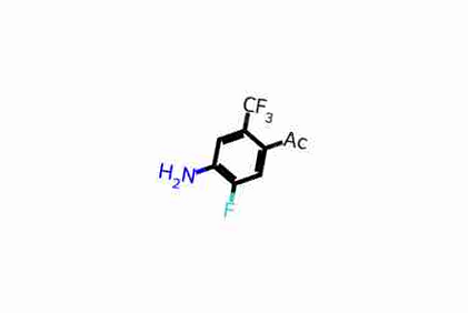 CC(=O)c1cc(F)c(N)cc1C(F)(F)F